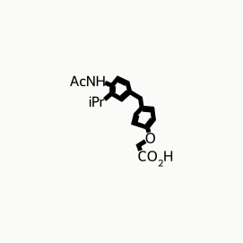 CC(=O)Nc1ccc(Cc2ccc(OCC(=O)O)cc2)cc1C(C)C